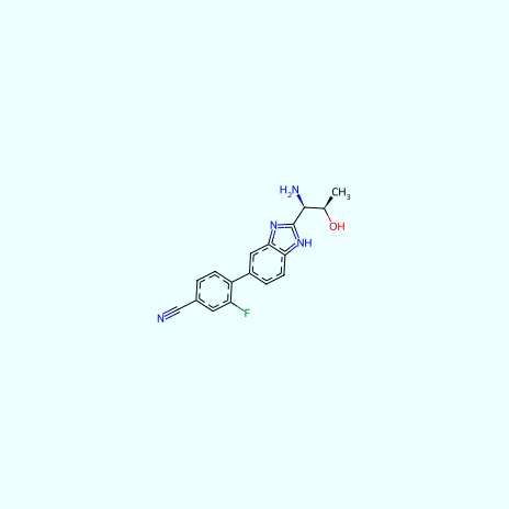 C[C@@H](O)[C@H](N)c1nc2cc(-c3ccc(C#N)cc3F)ccc2[nH]1